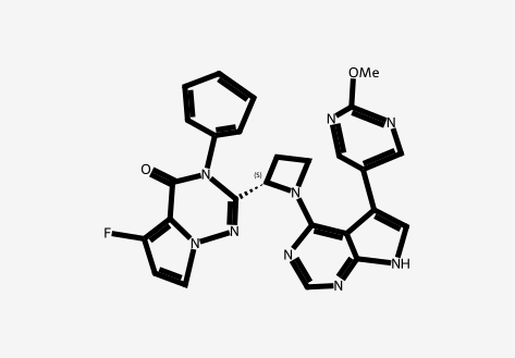 COc1ncc(-c2c[nH]c3ncnc(N4CC[C@H]4c4nn5ccc(F)c5c(=O)n4-c4ccccc4)c23)cn1